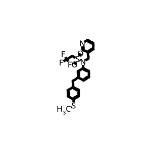 CSc1ccc(Cc2cccc(N(Cc3cccnc3)S(=O)(=O)CC(F)(F)F)c2)cc1